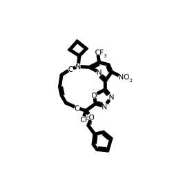 O=[N+]([O-])c1cc(C(F)(F)F)c2nc1-c1nnc(o1)C(OCc1ccccc1)(C(F)(F)F)CCC=CCCN2C1CCC1